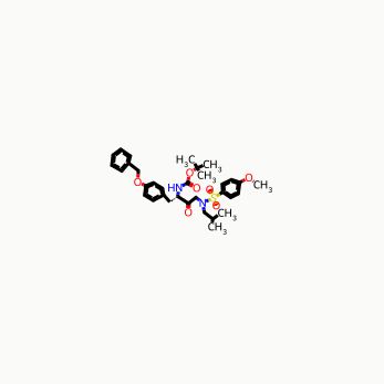 COc1ccc(S(=O)(=O)N(CC(=O)[C@H](Cc2ccc(OCc3ccccc3)cc2)NC(=O)OC(C)(C)C)CC(C)C)cc1